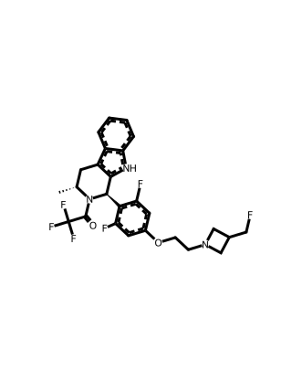 C[C@@H]1Cc2c([nH]c3ccccc23)[C@@H](c2c(F)cc(OCCN3CC(CF)C3)cc2F)N1C(=O)C(F)(F)F